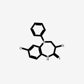 CCC1CN(c2ccccc2)c2cc(Cl)ccc2NC1=S